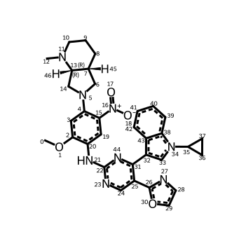 COc1cc(N2C[C@H]3CCCN(C)[C@H]3C2)c([N+](=O)[O-])cc1Nc1ncc(-c2ncco2)c(-c2cn(C3CC3)c3ccccc23)n1